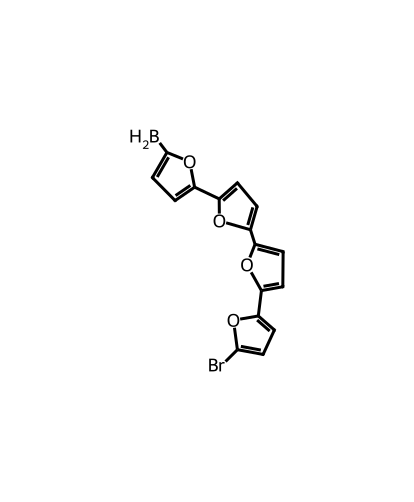 Bc1ccc(-c2ccc(-c3ccc(-c4ccc(Br)o4)o3)o2)o1